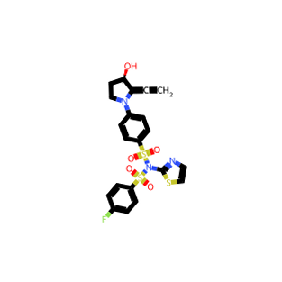 C=C=C1[C@H](O)CCN1c1ccc(S(=O)(=O)N(c2nccs2)S(=O)(=O)c2ccc(F)cc2)cc1